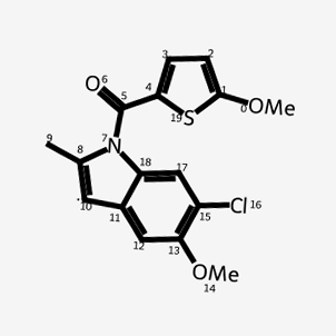 COc1ccc(C(=O)n2c(C)[c]c3cc(OC)c(Cl)cc32)s1